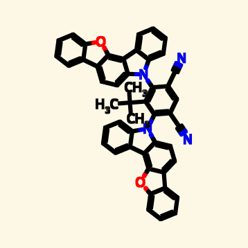 CC(C)(C)c1c(-n2c3ccccc3c3c4oc5ccccc5c4ccc32)c(C#N)cc(C#N)c1-n1c2ccccc2c2c3oc4ccccc4c3ccc21